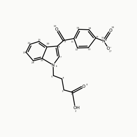 O=C(O)CCCn1cc(C(=O)c2ccc([N+](=O)[O-])cc2)c2ccccc21